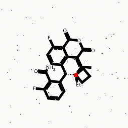 CCO/C(C)=C1/C(=O)OC(=O)c2c(F)ccc([C@@H](c3cccc(F)c3C(N)=O)C3CCC3)c21